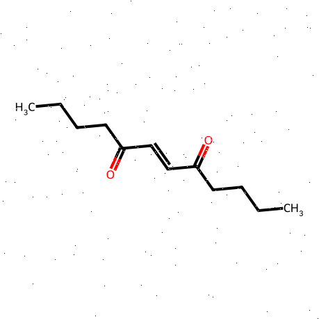 CCCCC(=O)C=CC(=O)CCCC